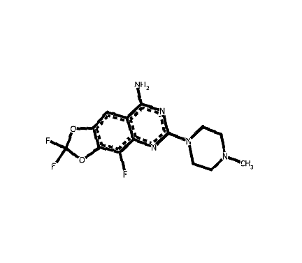 CN1CCN(c2nc(N)c3cc4c(c(F)c3n2)OC(F)(F)O4)CC1